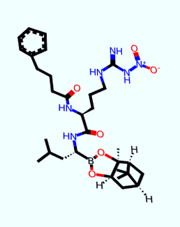 CC(C)C[C@H](NC(=O)[C@H](CCCNC(=N)N[N+](=O)[O-])NC(=O)CCCc1ccccc1)B1O[C@@H]2C[C@@H]3C[C@@H](C3(C)C)[C@]2(C)O1